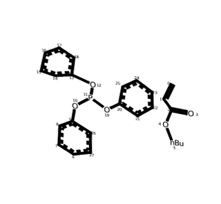 C=CC(=O)OCCCC.c1ccc(OP(Oc2ccccc2)Oc2ccccc2)cc1